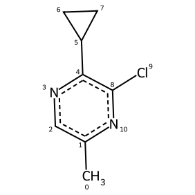 Cc1cnc(C2CC2)c(Cl)n1